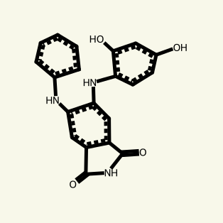 O=C1NC(=O)c2cc(Nc3ccc(O)cc3O)c(Nc3ccccc3)cc21